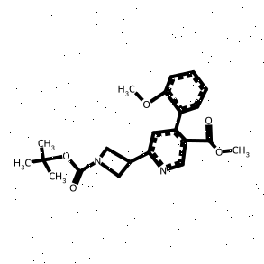 COC(=O)c1cnc(C2CN(C(=O)OC(C)(C)C)C2)cc1-c1ccccc1OC